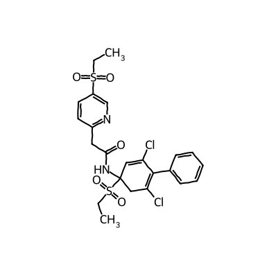 CCS(=O)(=O)c1ccc(CC(=O)NC2(S(=O)(=O)CC)C=C(Cl)C(c3ccccc3)=C(Cl)C2)nc1